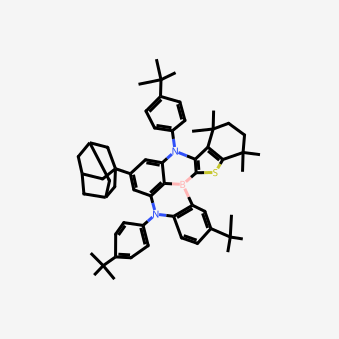 CC(C)(C)c1ccc(N2c3ccc(C(C)(C)C)cc3B3c4sc5c(c4N(c4ccc(C(C)(C)C)cc4)c4cc(C67CC8CC(CC(C8)C6)C7)cc2c43)C(C)(C)CCC5(C)C)cc1